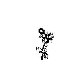 CCn1nccc1C(C)NC(=O)COc1cc(C(F)(F)F)c(C(=N)c2ccccc2)c(NC)n1